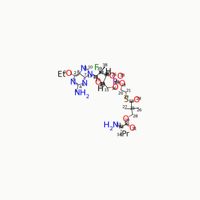 CCOc1nc(N)nc2c1ncn2[C@@H]1O[C@@H]2CO[P@](=O)(OCCSC(=O)C(C)(C)COC(=O)[C@@H](N)C(C)C)O[C@H]2[C@@]1(C)F